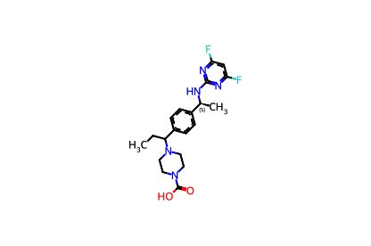 CCC(c1ccc([C@H](C)Nc2nc(F)cc(F)n2)cc1)N1CCN(C(=O)O)CC1